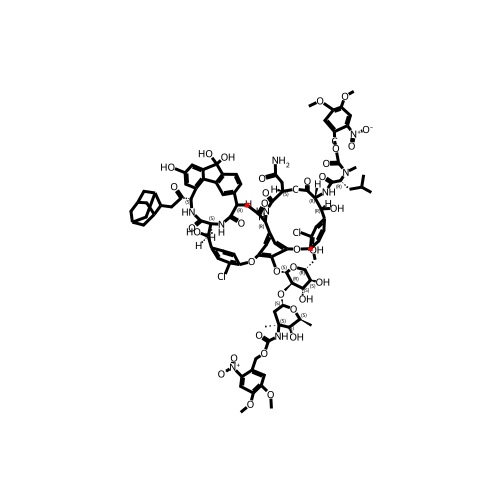 COc1cc(COC(=O)N[C@@]2(C)C[C@H](O[C@H]3[C@H](Oc4c5cc6cc4Oc4ccc(cc4Cl)[C@@H](O)[C@@H](NC(=O)[C@@H](CC(C)C)N(C)C(=O)OCc4cc(OC)c(OC)cc4[N+](=O)[O-])C(=O)C[C@@H](CC(N)=O)C(=O)N[C@H]6C(=O)C[C@H]4C(=O)N[C@H](C(=O)N[C@H](C(=O)CC6C7CC8CC(C7)CC6C8)c6cc(O)cc7c6-c6cc4ccc6C7(O)O)[C@H](O)c4ccc(c(Cl)c4)O5)O[C@H](CO)[C@@H](O)[C@@H]3O)O[C@@H](C)[C@H]2O)c([N+](=O)[O-])cc1OC